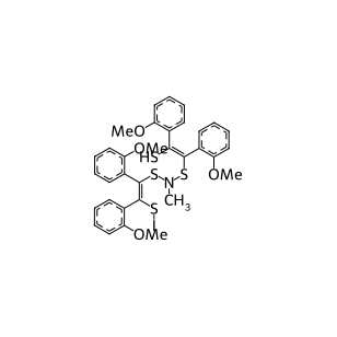 COc1ccccc1/C(S)=C(/SN(C)S/C(=C(\SI)c1ccccc1OC)c1ccccc1OC)c1ccccc1OC